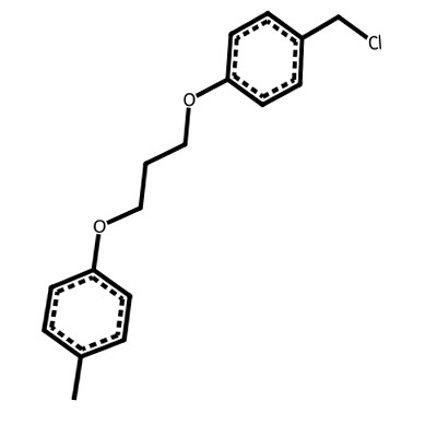 Cc1ccc(OCCCOc2ccc(CCl)cc2)cc1